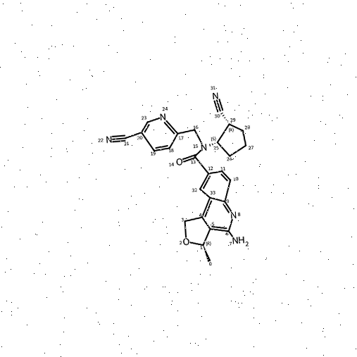 C[C@H]1OCc2c1c(N)nc1ccc(C(=O)N(Cc3ccc(C#N)cn3)[C@H]3CCC[C@H]3C#N)cc21